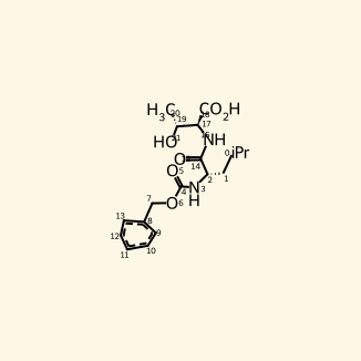 CC(C)C[C@H](NC(=O)OCc1ccccc1)C(=O)N[C@H](C(=O)O)[C@@H](C)O